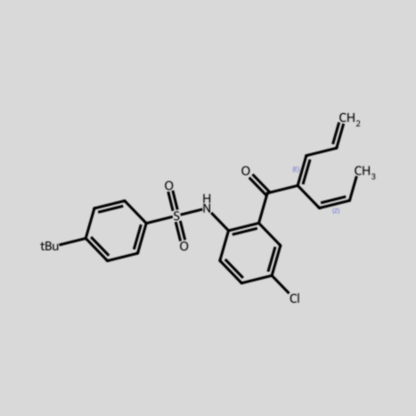 C=C/C=C(\C=C/C)C(=O)c1cc(Cl)ccc1NS(=O)(=O)c1ccc(C(C)(C)C)cc1